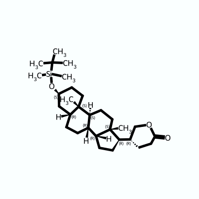 CC(C)(C)[Si](C)(C)O[C@H]1CC[C@@]2(C)[C@H](CC[C@H]3[C@H]4CC[C@H]([C@H]5CCC(=O)OC5)[C@@]4(C)CC[C@@H]32)C1